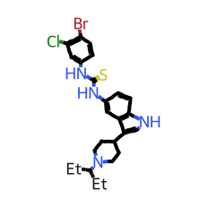 CCC(CC)N1CCC(c2c[nH]c3ccc(NC(=S)Nc4ccc(Br)c(Cl)c4)cc23)CC1